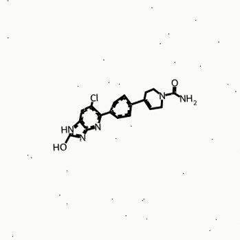 NC(=O)N1CC=C(c2ccc(-c3nc4nc(O)[nH]c4cc3Cl)cc2)CC1